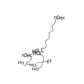 CCC(CO)(CO)CO.CCCCCCCCCCCC(=O)O.CCCCCCCCCCCCCCCCCC(=O)O